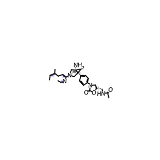 C/C=N\C(=C/C/C(C)=C\C)N1C[C@@]2(N)C[C@@]2(c2ccc(N3C[C@H](CNC(C)=O)OC3=O)cc2)C1